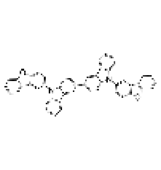 C1=Cc2oc3ccc(-n4c5ccccc5c5cc(-c6ccc7c(c6)c6ccccc6n7-c6ccc7oc8ccccc8c7c6)ccc54)cc3c2CC1